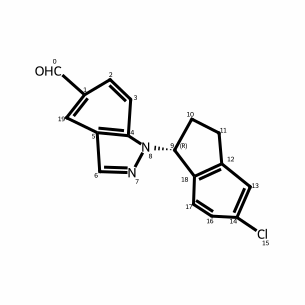 O=Cc1ccc2c(cnn2[C@@H]2CCc3cc(Cl)ccc32)c1